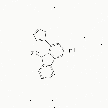 [I-].[I-].[Zr+2][CH]1c2ccccc2-c2cccc(C3=CC=CC3)c21